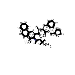 C/C(CC(C)(C)N)=C(\C(=O)O)[C@@H](Cc1cccc2ccccc12)C(=O)N(C)[C@H](Cc1ccccc1)C(=O)NCC1CCCO1